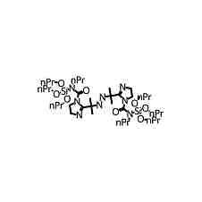 CCCO[Si](OCCC)(OCCC)N(CCC)C(=O)N1CCN=C1C(C)(C)/N=N/C(C)(C)C1=NCCN1C(=O)N(CCC)[Si](OCCC)(OCCC)OCCC